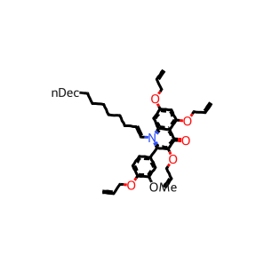 C=CCOc1cc(OCC=C)c2c(=O)c(OCC=C)c(-c3ccc(OCC=C)c(OC)c3)n(C=CCCCCCCCCCCCCCCCC)c2c1